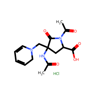 CC(=O)NC1(CN2C=CC=CC2)CC(C(=O)O)N(C(C)=O)C1=O.Cl